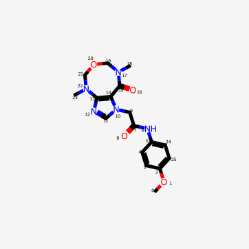 COc1ccc(NC(=O)Cn2cnc3c2C(=O)N(C)COCN3C)cc1